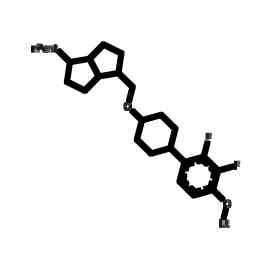 CCCCCC1CCC2C(COC3CCC(c4ccc(OCC)c(F)c4F)CC3)CCC12